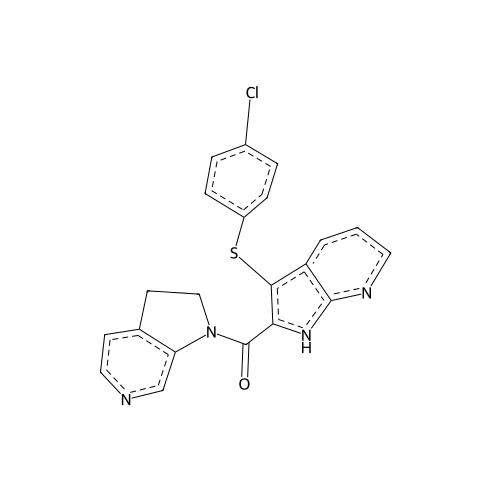 O=C(c1[nH]c2ncccc2c1Sc1ccc(Cl)cc1)N1CCc2ccncc21